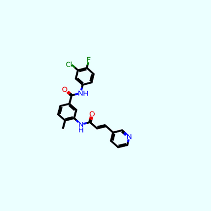 Cc1ccc(C(=O)Nc2ccc(F)c(Cl)c2)cc1NC(=O)/C=C/c1cccnc1